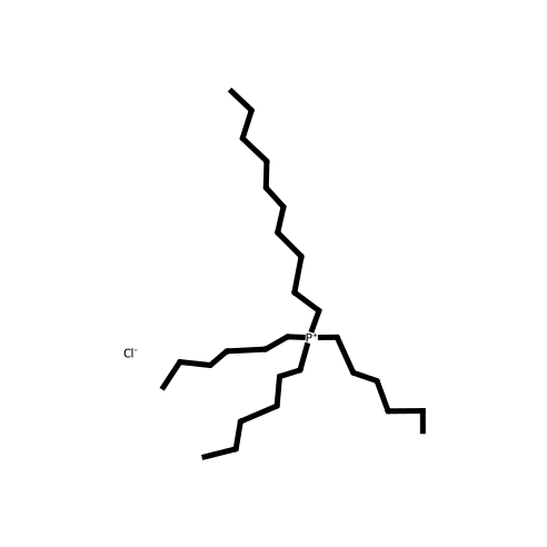 CCCCCCCCCC[P+](CCCCCC)(CCCCCC)CCCCCC.[Cl-]